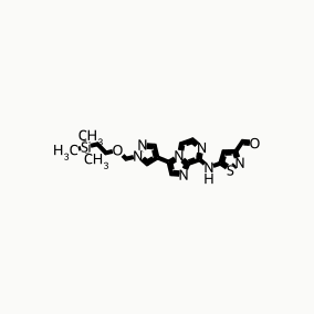 C[Si](C)(C)CCOCn1cc(-c2cnc3c(Nc4cc(C=O)ns4)nccn23)cn1